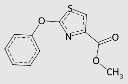 COC(=O)c1csc(Oc2ccccc2)n1